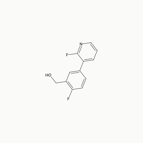 OCc1cc(-c2cccnc2F)ccc1F